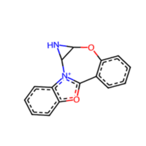 c1ccc2c(c1)OC1NC1[n+]1c-2oc2ccccc21